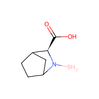 BN1C2CCC(C2)[C@H]1C(=O)O